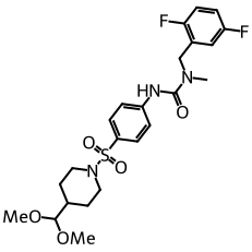 COC(OC)C1CCN(S(=O)(=O)c2ccc(NC(=O)N(C)Cc3cc(F)ccc3F)cc2)CC1